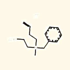 C=CCC[N+](C)(CCCCCCCCCCCC)Cc1ccccc1.[Cl-]